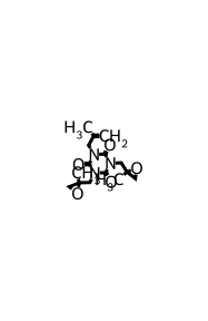 C=C(C)Cn1c(=O)n(CC2(C)CO2)c(=O)n(CC2(C)CO2)c1=O